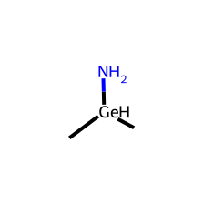 [CH3][GeH]([CH3])[NH2]